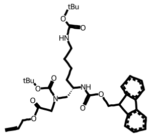 C=CCOC(=O)CN(C[C@H](CCCCNC(=O)OC(C)(C)C)NC(=O)OCC1c2ccccc2-c2ccccc21)C(=O)OC(C)(C)C